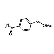 COSc1ccc(C(N)=O)cc1